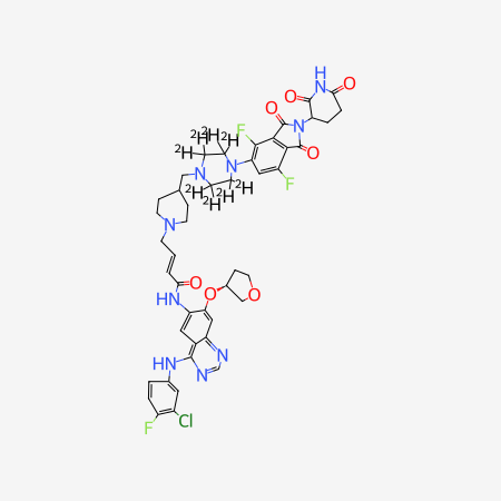 [2H]C1([2H])N(CC2CCN(C/C=C/C(=O)Nc3cc4c(Nc5ccc(F)c(Cl)c5)ncnc4cc3O[C@H]3CCOC3)CC2)C([2H])([2H])C([2H])([2H])N(c2cc(F)c3c(c2F)C(=O)N(C2CCC(=O)NC2=O)C3=O)C1([2H])[2H]